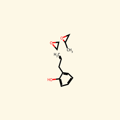 C1CO1.C=CCc1ccccc1O.CC1CO1